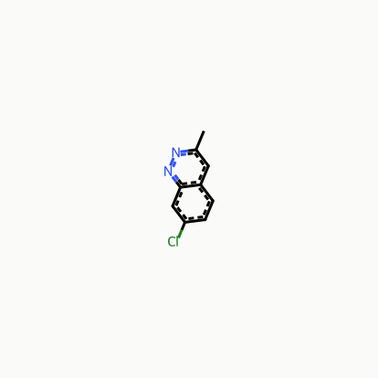 Cc1cc2ccc(Cl)cc2nn1